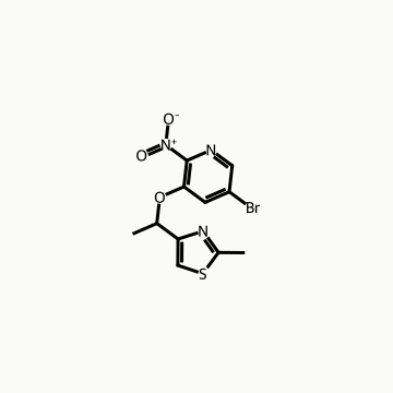 Cc1nc(C(C)Oc2cc(Br)cnc2[N+](=O)[O-])cs1